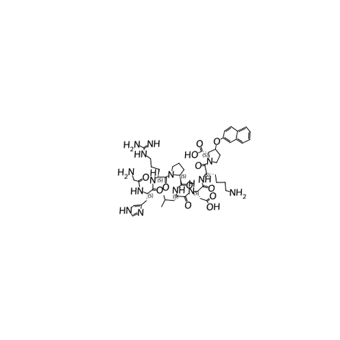 CC(C)C[C@H](NC(=O)[C@@H]1CCCN1C(=O)[C@H](CCCNC(=N)N)NC(=O)[C@H](Cc1c[nH]cn1)NC(=O)CN)C(=O)N[C@@H](CC(=O)O)C(=O)N[C@@H](CCCCN)C(=O)N1CCC(Oc2ccc3ccccc3c2)[C@H]1C(=O)O